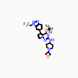 [2H]C([2H])([2H])Oc1nc(NC2CCN(C3COC3)CC2)nn2ccc(-c3ccc4nnn(CC(F)(F)F)c4c3)c12